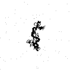 COCOc1c(-c2ccc3nc(N4CCC(N(C(=O)OC(C)(C)C)[C@H]5C[C@H](F)C5)C4)ccc3n2)cc2oc(C)nc2c1F